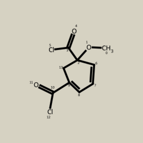 COC1(C(=O)Cl)C=CC=C(C(=O)Cl)C1